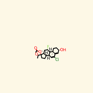 CC(=O)O[C@]1(C(C)=O)CC[C@H]2[C@@H]3C=C(Cl)C4=C[C@@H](O)CC[C@]4(C)[C@H]3[C@@H](F)C[C@@]21C